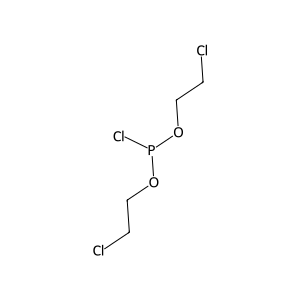 ClCCOP(Cl)OCCCl